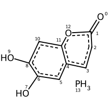 O=c1ccc2cc(O)c(O)cc2o1.P